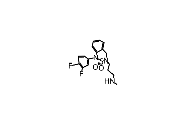 CNCCCN1Cc2ccccc2N(c2ccc(F)c(F)c2)S1(=O)=O